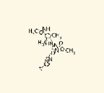 CCOC(=N)c1cc(C)c(CNc2cc(OCc3cn4cc(C5CC5)ccc4n3)nc(C(=O)OCC)n2)c(C)c1